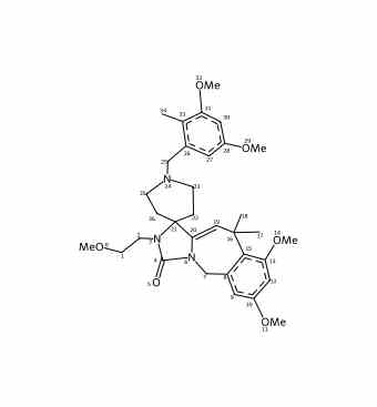 COCCN1C(=O)N2Cc3cc(OC)cc(OC)c3C(C)(C)C=C2C12CCN(Cc1cc(OC)cc(OC)c1C)CC2